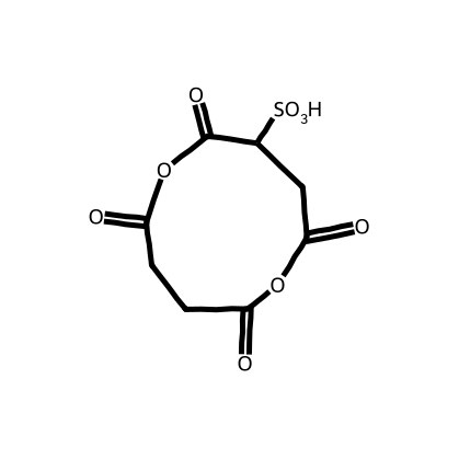 O=C1CCC(=O)OC(=O)C(S(=O)(=O)O)CC(=O)O1